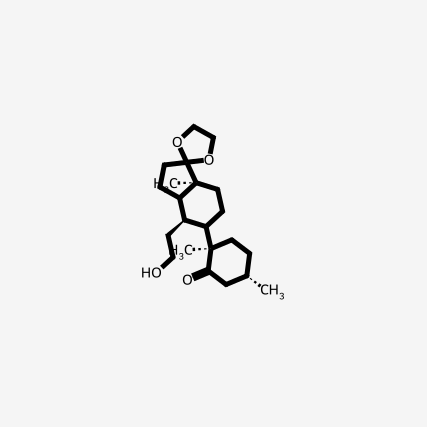 C[C@H]1CC[C@](C)(C2CC[C@@]3(C)C(CCC34OCCO4)[C@@H]2CCO)C(=O)C1